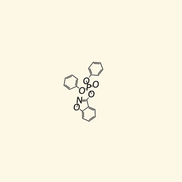 O=P(Oc1ccccc1)(Oc1ccccc1)Oc1noc2ccccc12